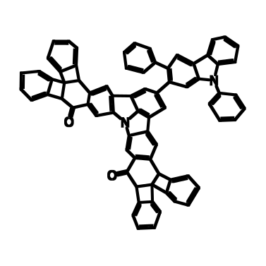 O=C1c2cc3c(cc2C2c4ccccc4C24c2ccccc2C14)c1cc(-c2cc4c(cc2-c2ccccc2)c2ccccc2n4-c2ccccc2)cc2c4cc5c(cc4n3c12)C(=O)C1c2ccccc2C12c1ccccc1C52